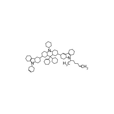 C=CCCCC(C)N1C2=C(CCCC2)C2=CC(C3CCC4C(C3)C(C3=CCCCC3)(C3CCCCC3)C3CC(C5CCC6C(C5)C5=C(CCCC5)N6C5CC=CCC5)CCC3N4C3CCCCC3)CCC21